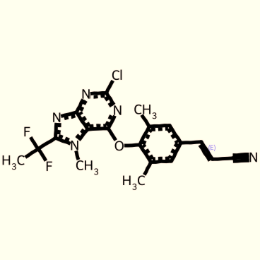 Cc1cc(/C=C/C#N)cc(C)c1Oc1nc(Cl)nc2nc(C(C)(F)F)n(C)c12